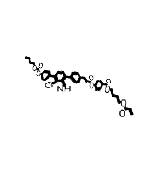 C=CC(=O)OCCCCOC(=O)c1ccc(OC(=O)/C=C/c2ccc(-c3ccc(-c4ccc(OC(=O)OCCCC)cc4)c(Cl)c3C=N)cc2)cc1